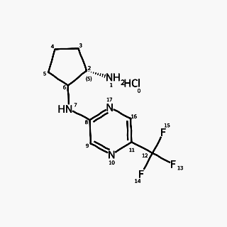 Cl.N[C@H]1CCCC1Nc1cnc(C(F)(F)F)cn1